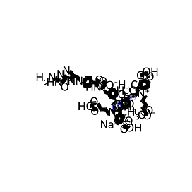 CC1(C)C(/C=C/C2=C(Oc3ccc(C[C@H](NC(=O)c4ccc(NCc5cnc6nc(N)[nH]c(=O)c6n5)cc4)C(=O)[O-])cc3)C(=C/C=C3/N(CCCCS(=O)(=O)O)c4ccc(S(=O)(=O)O)cc4C3(C)C)/CCO2)=[N+](CCCCS(=O)(=O)[O-])c2ccc(S(=O)(=O)O)cc21.[Na+]